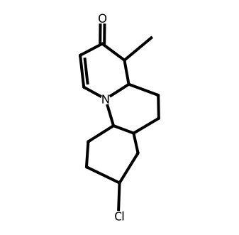 CC1C(=O)C=CN2C3CCC(Cl)CC3CCC12